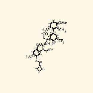 CCOC(=O)C[C@H](NC(=O)C(CC(C)C)n1cc(CCN2CCC2)c(C(F)(F)F)cc1=O)c1cc(-c2c(C)ccc(OC)c2C)cc(C(F)(F)F)c1F